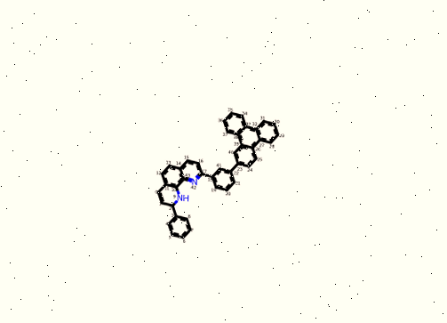 C1=CC(c2ccccc2)Nc2c1ccc1ccc(-c3cccc(-c4ccc5c6ccccc6c6ccccc6c5c4)c3)nc21